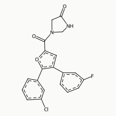 O=C1CN(C(=O)c2cc(-c3cccc(F)c3)c(-c3cccc(Cl)c3)o2)CN1